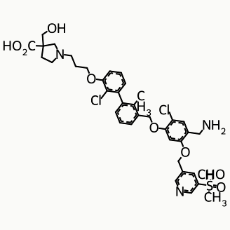 Cc1c(COc2cc(OCc3cncc([SH](C)(=O)C=O)c3)c(CN)cc2Cl)cccc1-c1cccc(OCCCN2CCC(CO)(C(=O)O)C2)c1Cl